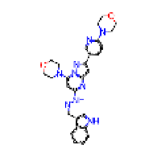 C(=N/Nc1cc(N2CCOCC2)n2nc(-c3ccc(N4CCOCC4)nc3)cc2n1)/c1c[nH]c2ccccc12